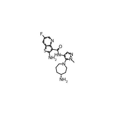 Cn1ncc(NC(=O)c2c(N)sc3cc(F)cnc23)c1N1CCC[C@H](N)CC1